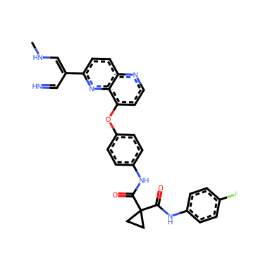 CN/C=C(\C=N)c1ccc2nccc(Oc3ccc(NC(=O)C4(C(=O)Nc5ccc(F)cc5)CC4)cc3)c2n1